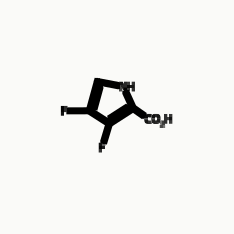 O=C(O)c1[nH]cc(F)c1F